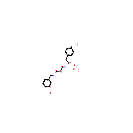 Cc1ccc(CC(NC(=O)C(F)C(=O)NCc2cccc(OC(F)(F)F)c2)OB(O)O)cc1